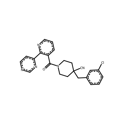 N#CC1(Cc2cccc(Cl)c2)CCN(C(=O)c2cccnc2-c2ccncn2)CC1